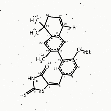 CCOc1ccc(C=C2SC(=S)NC2=O)cc1-c1cc2c(cc1C)C(C)(C)CC=C2C(C)C